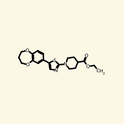 CCOC(=O)C1CCN(c2ncc(-c3ccc4c(c3)OCCCO4)s2)CC1